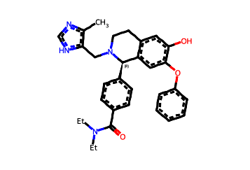 CCN(CC)C(=O)c1ccc([C@@H]2c3cc(Oc4ccccc4)c(O)cc3CCN2Cc2[nH]cnc2C)cc1